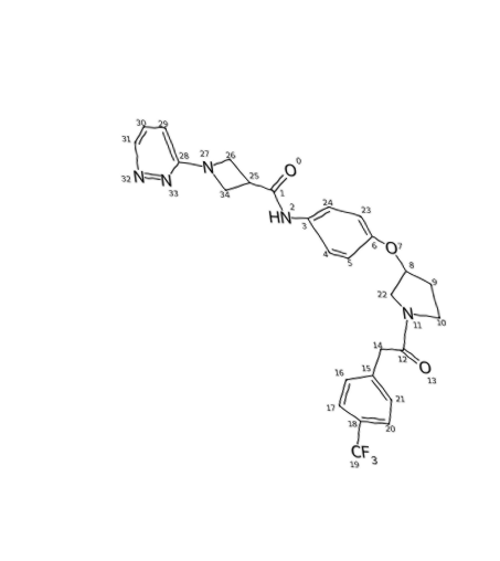 O=C(Nc1ccc(OC2CCN(C(=O)Cc3ccc(C(F)(F)F)cc3)C2)cc1)C1CN(c2cccnn2)C1